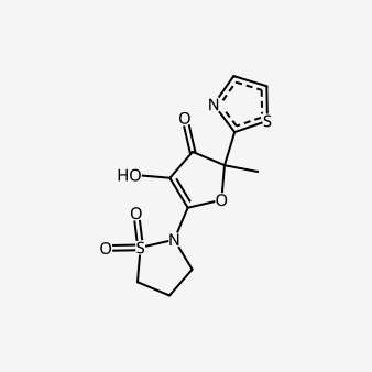 CC1(c2nccs2)OC(N2CCCS2(=O)=O)=C(O)C1=O